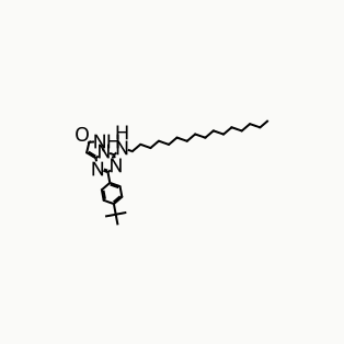 CCCCCCCCCCCCCCCCNc1nc(-c2ccc(C(C)(C)C)cc2)nc2cc(=O)[nH]n12